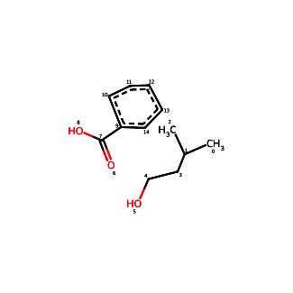 CC(C)CCO.O=C(O)c1ccccc1